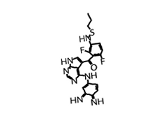 CCCSNc1ccc(F)c(C(=O)c2c[nH]c3ncnc(NC4=CC(=N)C(=N)C=C4)c23)c1F